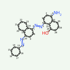 Nc1ccc(N=Nc2ccc(N=Nc3ccccc3)c3ccccc23)c2c(O)cccc12